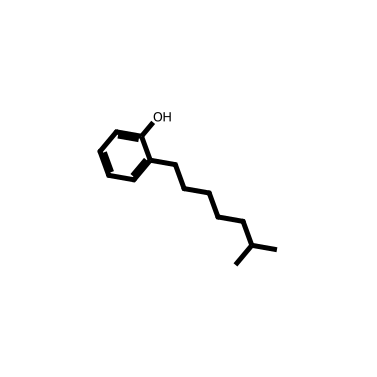 CC(C)CCCCCc1ccccc1O